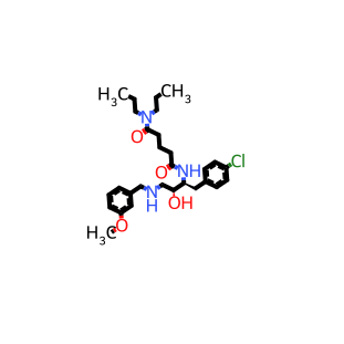 CCCN(CCC)C(=O)CCCC(=O)N[C@@H](Cc1ccc(Cl)cc1)[C@H](O)CNCc1cccc(OC)c1